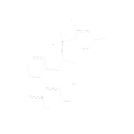 CNC(=O)C(=NOC)c1ccccc1C(ON)=C(C)C1CC1(C)c1ccc(F)cc1F